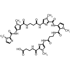 Cn1cc(NC(=O)c2nccn2C)cc1C(=O)NCCC(=O)Nc1cn(C)c(C(=O)Nc2ccn(C)c2C(=O)NCCC(=O)Nc2cn(C)c(C(=O)NCCC(=O)O)n2)n1